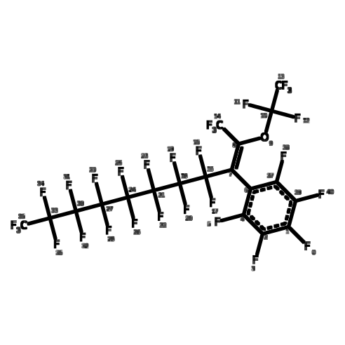 Fc1c(F)c(F)c(C(=C(OC(F)(F)C(F)(F)F)C(F)(F)F)C(F)(F)C(F)(F)C(F)(F)C(F)(F)C(F)(F)C(F)(F)C(F)(F)C(F)(F)F)c(F)c1F